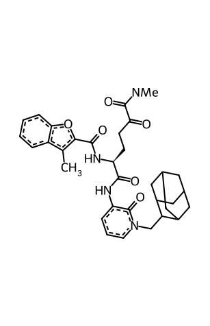 CNC(=O)C(=O)CC[C@H](NC(=O)c1oc2ccccc2c1C)C(=O)Nc1cccn(CC2C3CC4CC(C3)CC2C4)c1=O